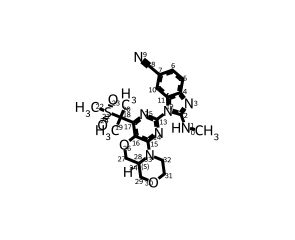 CNc1nc2ccc(C#N)cc2n1-c1nc2c(c(C(C)(C)S(C)(=O)=O)n1)OC[C@@H]1COCCN21